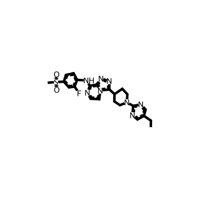 CCc1cnc(N2CCC(c3nnc4c(Nc5ccc(S(C)(=O)=O)cc5F)nccn34)CC2)nc1